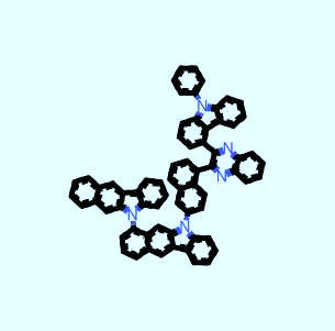 c1ccc(-n2c3ccccc3c3c(-c4nc5ccccc5nc4-c4cccc5cc(-n6c7ccccc7c7cc8cccc(-n9c%10ccccc%10c%10cc%11ccccc%11cc%109)c8cc76)ccc45)cccc32)cc1